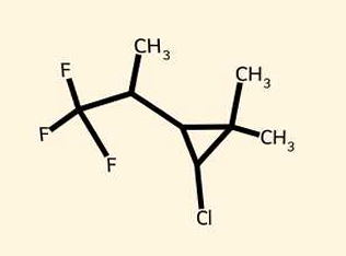 CC(C1C(Cl)C1(C)C)C(F)(F)F